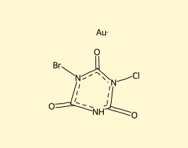 O=c1[nH]c(=O)n(Br)c(=O)n1Cl.[Au]